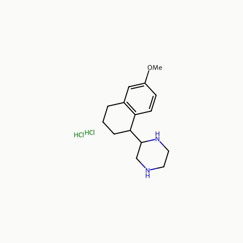 COc1ccc2c(c1)CCCC2C1CNCCN1.Cl.Cl